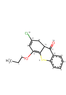 CCCOC1=C2Sc3ccccc3C(=O)C2CC(Cl)=C1